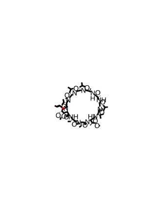 C/C=C/C[C@@H](C)[C@@H](OC(C)=O)[C@H]1C(=O)N[C@@H](CC)C(=O)N(C)[C@H](CC)C(=O)N(C)[C@@H]([C@H](C)COC)C(=O)N[C@@H](C(C)C)C(=O)N(C)[C@@H](CC(C)C)C(=O)N[C@@H](C)C(=O)N[C@H](C)C(=O)N(C)[C@@H](CC(C)C)C(=O)N(C)[C@@H](CC(C)C)C(=O)N(C)[C@@H](C(C)C)C(=O)N1C